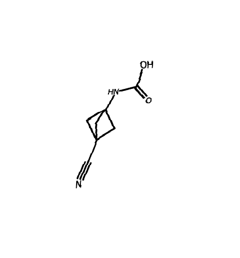 N#CC12CC(NC(=O)O)(C1)C2